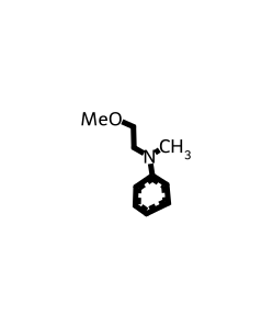 [CH2]OCCN(C)c1ccccc1